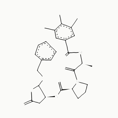 Cc1cc(C(=O)N[C@H](C(=O)N2CCC[C@H]2C(=O)N[C@H]2CC(=O)OC2OCc2ccccc2)C(C)C)cc(C)c1O